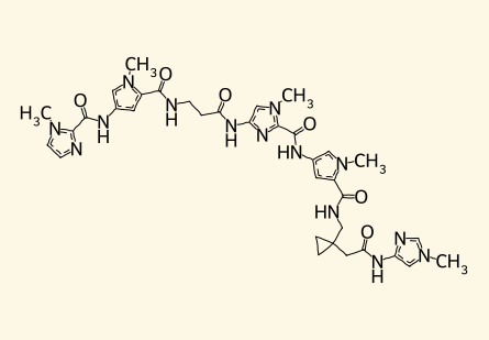 Cn1cnc(NC(=O)CC2(CNC(=O)c3cc(NC(=O)c4nc(NC(=O)CCNC(=O)c5cc(NC(=O)c6nccn6C)cn5C)cn4C)cn3C)CC2)c1